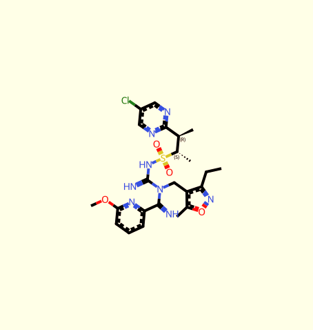 CCc1noc(C)c1CN(C(=N)NS(=O)(=O)[C@@H](C)[C@H](C)c1ncc(Cl)cn1)C(=N)c1cccc(OC)n1